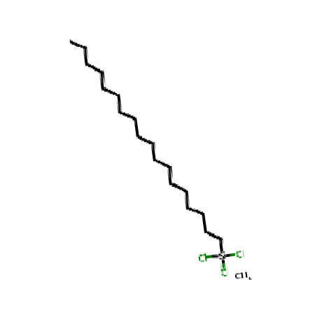 C.CCCCCCCCCCCCCCCCCC[Si](Cl)(Cl)Cl